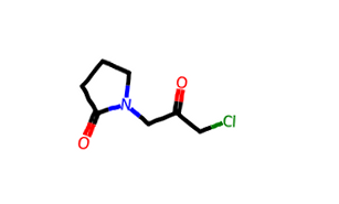 O=C(CCl)CN1CCCC1=O